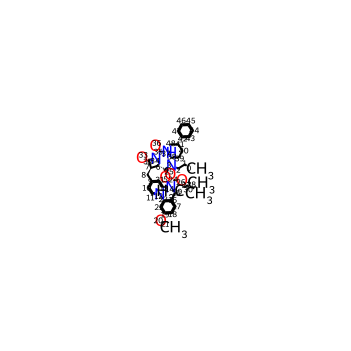 CCCNC(=O)[C@@H]1[C@@H](Cc2ccnc(N(Cc3ccc(OC)cc3)C(=O)OC(C)(C)C)c2)C(=O)N1C(=O)N1CCC[C@@H](c2ccccc2)C1